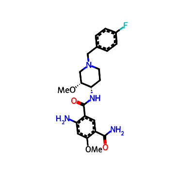 COc1cc(N)c(C(=O)N[C@H]2CCN(Cc3ccc(F)cc3)C[C@H]2OC)cc1C(N)=O